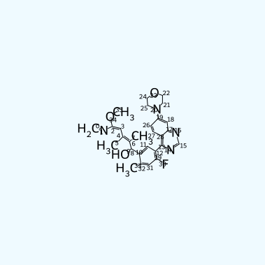 C=N/C(=C\C(C)=C(/C)C(O)c1cc(-c2ncnc3cc(N4CCOCC4)ccc23)c(F)cc1C)OC